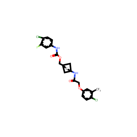 O=C(COc1ccc(Cl)c(C(F)(F)F)c1)NC12CC(COC(=O)Nc3ccc(Cl)c(F)c3)(C1)C2